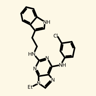 CCn1cnc2c(Nc3cccc(Cl)c3)nc(NCCc3c[nH]c4ccccc34)nc21